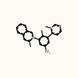 Cc1c(-c2ccnc[n+]2C)cc(C(F)(F)F)cc1-[n+]1cc2ccccc2cc1C